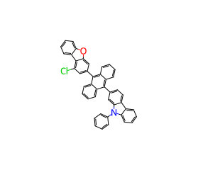 Clc1cc(-c2c3ccccc3c(-c3ccc4c5ccccc5n(-c5ccccc5)c4c3)c3ccccc23)cc2oc3ccccc3c12